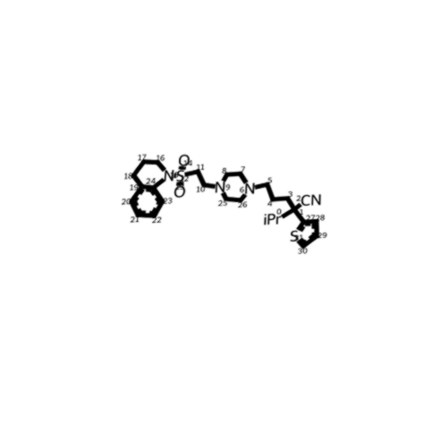 CC(C)C(C#N)(CCCN1CCN(CCS(=O)(=O)N2CCCc3ccccc32)CC1)c1cccs1